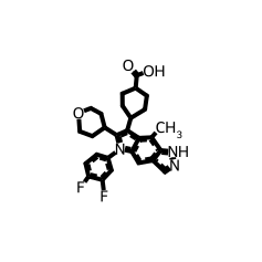 Cc1c2[nH]ncc2cc2c1c(C1CCC(C(=O)O)CC1)c(C1CCOCC1)n2-c1ccc(F)c(F)c1